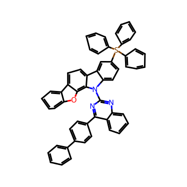 c1ccc(-c2ccc(-c3nc(-n4c5ccc(S(c6ccccc6)(c6ccccc6)c6ccccc6)cc5c5ccc6c7ccccc7oc6c54)nc4ccccc34)cc2)cc1